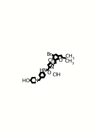 Cc1cc(C(=O)Nc2ccc(CN3CCC(O)CC3)cc2)nn1Cc1cc(Br)cc2cc(C(C)C)oc12.Cl